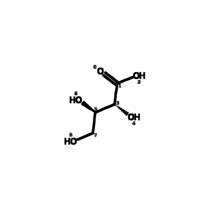 O=C(O)[C@H](O)[C@H](O)CO